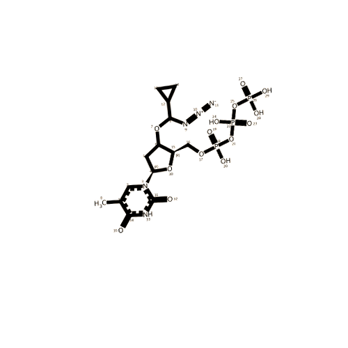 Cc1cn([C@H]2CC(OC(N=[N+]=[N-])C3CC3)[C@@H](COP(=O)(O)OP(=O)(O)OP(=O)(O)O)O2)c(=O)[nH]c1=O